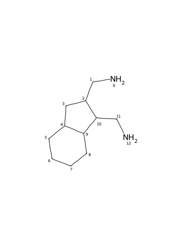 NCC1CC2CCCCC2C1CN